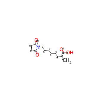 C=C(CCCCCCN1C(=O)CCC1=O)C(=O)O